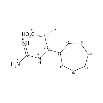 C[C@@H](C(=O)O)N(NC(=N)N)C1CCCCCC1